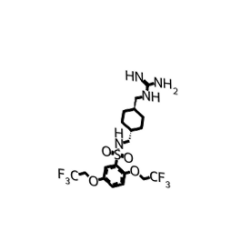 N=C(N)NC[C@H]1CC[C@H](CNS(=O)(=O)c2cc(OCC(F)(F)F)ccc2OCC(F)(F)F)CC1